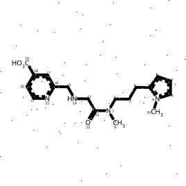 CN(CCCc1cccn1C)C(=O)CNCc1cc(C(=O)O)ccn1